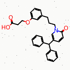 O=C(O)CCOc1cccc(CCCn2cc(C(c3ccccc3)c3ccccc3)ccc2=O)c1